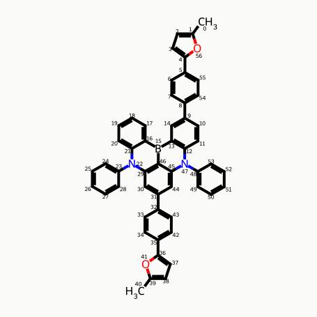 Cc1ccc(-c2ccc(-c3ccc4c(c3)B3c5ccccc5N(c5ccccc5)c5cc(-c6ccc(-c7ccc(C)o7)cc6)cc(c53)N4c3ccccc3)cc2)o1